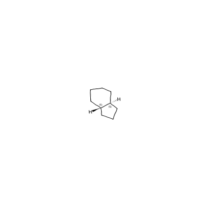 C1CC[C@H]2CCC[C@@H]2C1